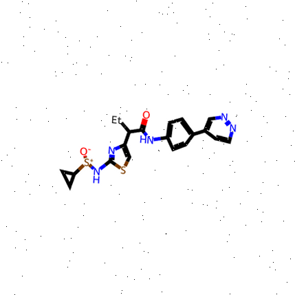 CCC(C(=O)Nc1ccc(-c2ccnnc2)cc1)c1csc(N[S+]([O-])C2CC2)n1